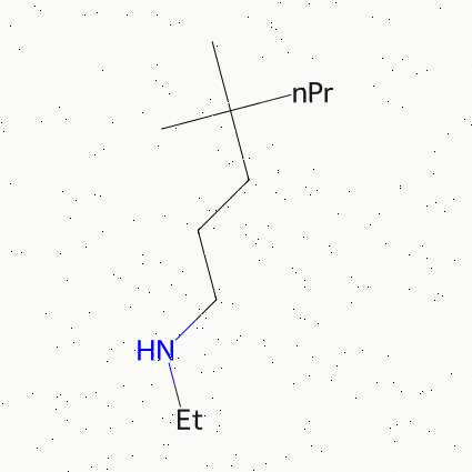 CCCC(C)(C)CCCNCC